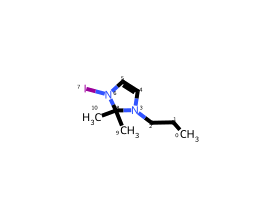 CCCN1C=CN(I)C1(C)C